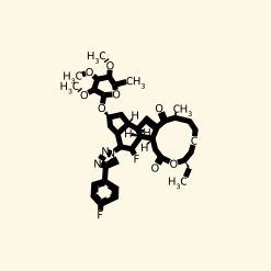 CC[C@H]1CCCC[C@@H](C)C(=O)C2=C[C@@H]3[C@@H](C(F)C(n4cc(-c5ccc(F)cc5)nn4)C4C[C@@H](OC5OC(C)C(OC)C(OC)C5OC)C[C@H]43)[C@@H]2CC(=O)O1